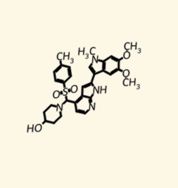 COc1cc2c(-c3cc4c(C(N5CCC(O)CC5)S(=O)(=O)c5ccc(C)cc5)ccnc4[nH]3)cn(C)c2cc1OC